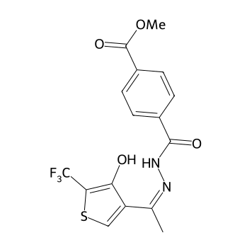 COC(=O)c1ccc(C(=O)NN=C(C)c2csc(C(F)(F)F)c2O)cc1